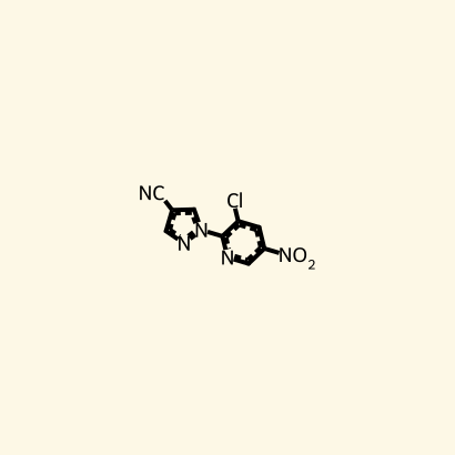 N#Cc1cnn(-c2ncc([N+](=O)[O-])cc2Cl)c1